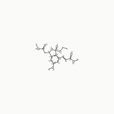 CCOP1(=O)OC(CC(=O)OC)c2cc(OC)cc(C=CC(=O)OC)c21